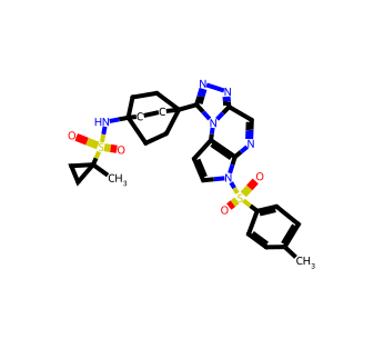 Cc1ccc(S(=O)(=O)n2ccc3c2ncc2nnc(C45CCC(NS(=O)(=O)C6(C)CC6)(CC4)CC5)n23)cc1